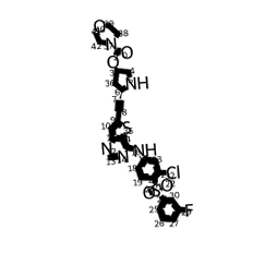 O=C(O[C@H]1CN[C@H](C#Cc2cc3ncnc(Nc4ccc(S(=O)(=O)c5cccc(F)c5)c(Cl)c4)c3s2)C1)N1CCOCC1